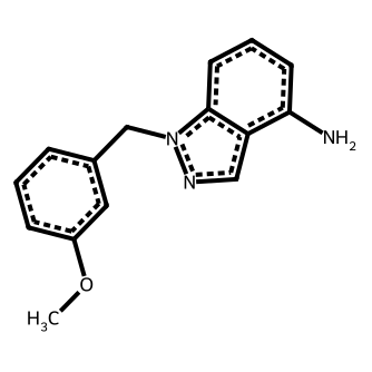 COc1cccc(Cn2ncc3c(N)cccc32)c1